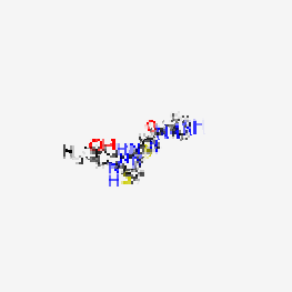 C[C@]1(O)CC[C@H](Nc2nc(Nc3cc(C(=O)NCC4CCNCC4)ns3)nc3ccsc23)CC1